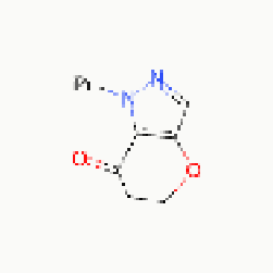 CC(C)n1ncc2c1C(=O)CCO2